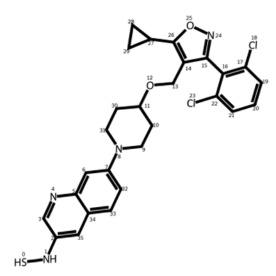 SNc1cnc2cc(N3CCC(OCc4c(-c5c(Cl)cccc5Cl)noc4C4CC4)CC3)ccc2c1